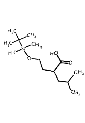 CC(C)CC(CCO[Si](C)(C)C(C)(C)C)C(=O)O